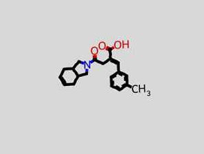 Cc1cccc(/C=C(\CC(=O)N2CC3CC=CCC3C2)C(=O)O)c1